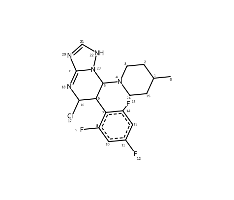 CC1CCN(C2C(c3c(F)cc(F)cc3F)C(Cl)N=C3N=CNN32)CC1